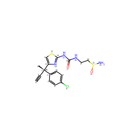 C#C[C@@](C)(c1ccc(Cl)cc1)c1csc(NC(=O)NCC[S+](N)[O-])n1